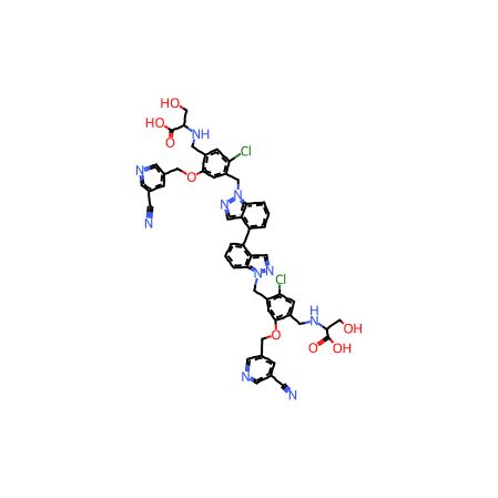 N#Cc1cncc(COc2cc(Cn3ncc4c(-c5cccc6c5cnn6Cc5cc(OCc6cncc(C#N)c6)c(CNC(CO)C(=O)O)cc5Cl)cccc43)c(Cl)cc2CNC(CO)C(=O)O)c1